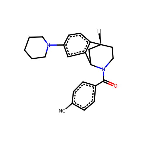 N#Cc1ccc(C(=O)N2CC[C@@H]3CC2c2cc(N4CCCCC4)ccc23)cc1